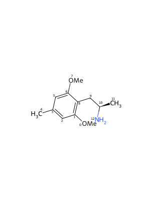 COc1cc(C)cc(OC)c1C[C@@H](C)N